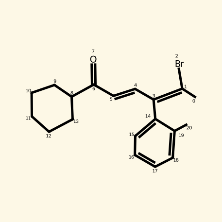 C/C(Br)=C(/C=C/C(=O)C1CCCCC1)c1ccccc1C